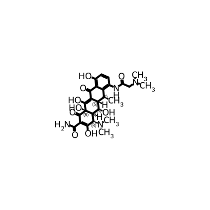 C[C@@H]1c2c(NC(=O)CN(C)C)ccc(O)c2C(=O)C2=C(O)[C@@]3(O)C(=O)C(C(N)=O)=C(O)[C@H](N(C)C)[C@@H]3[C@H](O)[C@H]21